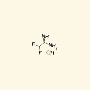 Cl.N=C(N)C(F)F